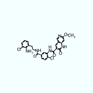 COc1cc2[nH]c(=O)c(C(=O)Nc3cc(C(=O)NCCc4cccc(Cl)c4N)ccc3Cl)cc2cn1